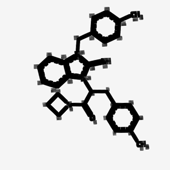 Cc1ccc(CC(C(=O)N2CCC2)n2c(=N)n(Cc3ccc(C)cc3)c3ccccc32)cc1